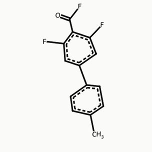 Cc1ccc(-c2cc(F)c(C(=O)F)c(F)c2)cc1